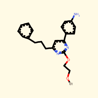 CCOCCOc1nc(CCCc2ccccc2)cc(-c2ccc(N)cc2)n1